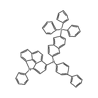 c1ccc(-c2ccc(N(c3ccc4cc(S(c5ccccc5)(c5ccccc5)c5ccccc5)ccc4c3)c3ccc4c5c3ccc3cccc(c35)n4-c3ccccc3)cc2)cc1